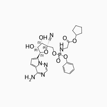 N#C[C@]1(COP(=O)(NCC(=O)OC2CCCC2)Oc2ccccc2)O[C@@H](c2ccc3c(N)ncnn23)[C@H](O)[C@@H]1O